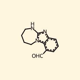 O=Cc1cccc2nc3n(c12)CCCCN3